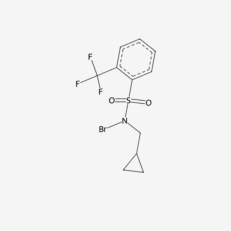 O=S(=O)(c1ccccc1C(F)(F)F)N(Br)CC1CC1